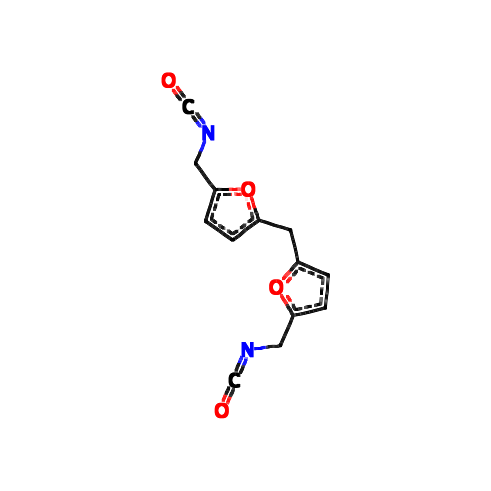 O=C=NCc1ccc(Cc2ccc(CN=C=O)o2)o1